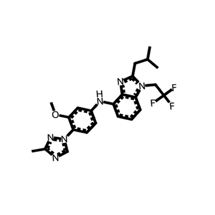 COc1cc(Nc2cccc3c2nc(CC(C)C)n3CC(F)(F)F)ccc1-n1cnc(C)n1